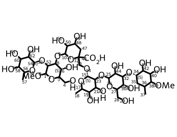 COC1OC(CO)[C@H](O)C(OC2OC(CO[C@H]3OC(C)C(O)C(O)C3OC3OC(CO)[C@H](O)C(O[C@H]4CC(C)C(OC)C(O)C4O)C3O)(C(=O)O)CC(O)C2O)C1O[C@H]1OC(C)C(O)C(O)C1O